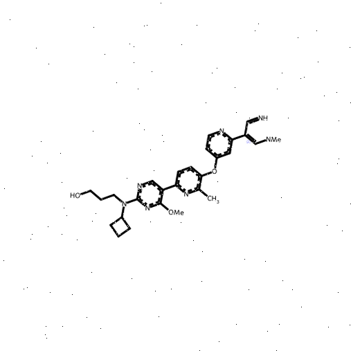 CN/C=C(\C=N)c1cc(Oc2ccc(-c3cnc(N(CCCO)C4CCC4)nc3OC)nc2C)ccn1